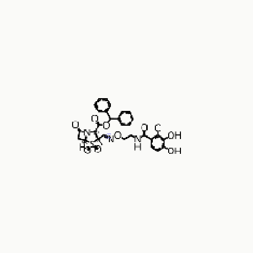 C[C@]1(/C=N/OCCNC(=O)c2ccc(O)c(O)c2Cl)[C@H](C(=O)OC(c2ccccc2)c2ccccc2)N2C(=O)C[C@H]2S1(=O)=O